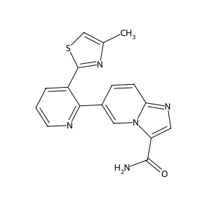 Cc1csc(-c2cccnc2-c2ccc3ncc(C(N)=O)n3c2)n1